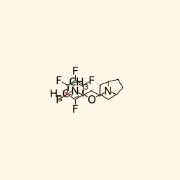 CN(C)CCCN1C2CCC1CC(Oc1c(F)c(F)c(F)c(F)c1F)C2